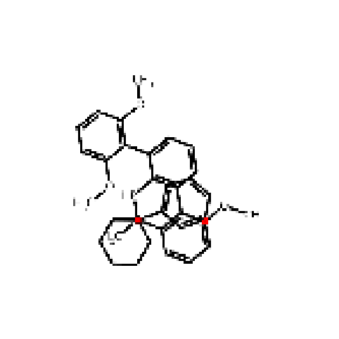 COc1cccc(OC)c1-c1cccc(-c2c(OC)cccc2OC)c1PC1(c2ccccc2)CCCCC1